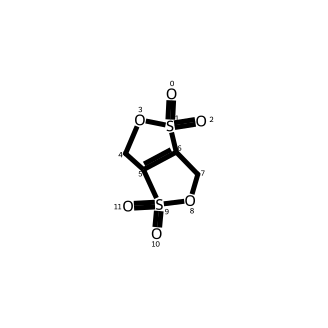 O=S1(=O)OCC2=C1COS2(=O)=O